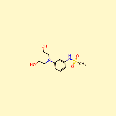 CS(=O)(=O)Nc1cccc(N(CCO)CCO)c1